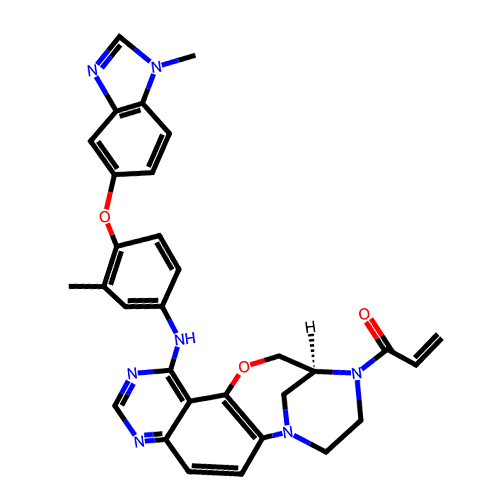 C=CC(=O)N1CCN2C[C@H]1COc1c2ccc2ncnc(Nc3ccc(Oc4ccc5c(c4)ncn5C)c(C)c3)c12